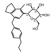 CCCc1ccc(Cc2cc([C@@H]3O[C@H](CO)[C@H](O)[C@H](O)[C@@H]3O)c(C)c3c2CCC3)cc1